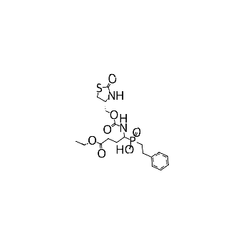 CCOC(=O)CCC(NC(=O)OC[C@@H]1CSC(=O)N1)P(=O)(O)CCc1ccccc1